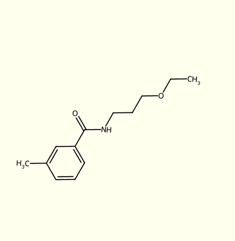 CCOCCCNC(=O)c1cccc(C)c1